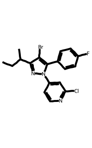 CCC(C)c1nn(-c2ccnc(Cl)c2)c(-c2ccc(F)cc2)c1Br